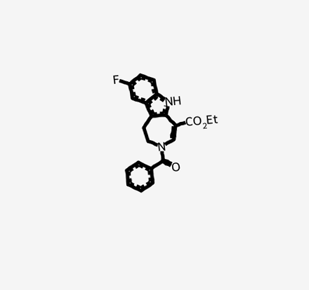 CCOC(=O)C1=CN(C(=O)c2ccccc2)CCc2c1[nH]c1ccc(F)cc21